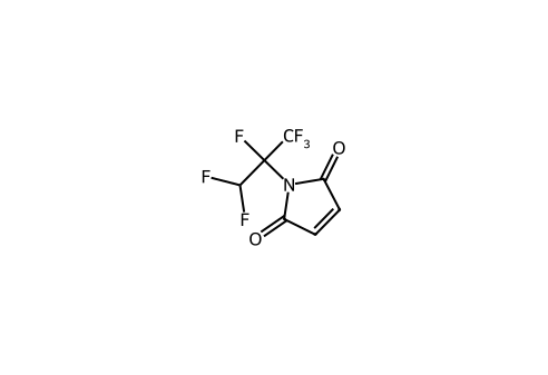 O=C1C=CC(=O)N1C(F)(C(F)F)C(F)(F)F